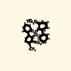 Cc1ccc(-c2ccccc2)c(C(=O)O)c1C(=O)O.O=C(O)c1cccc(-c2ccccc2)c1C(=O)O